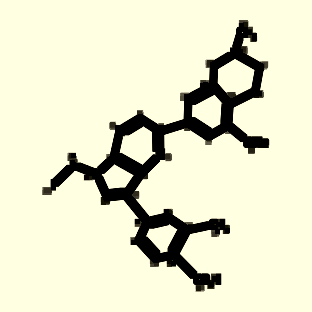 COc1cc(-c2cnc3c(n2)c(-c2ccc(C(=O)O)c(C)c2)cn3SI)cc2c1CCN(C)C2